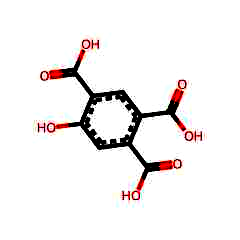 O=C(O)c1cc(C(=O)O)c(C(=O)O)cc1O